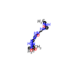 CC(=O)c1c(C)c2cnc(Nc3ccc(N4CCN(CC(=O)NCCCCCNc5ccccc5C(=O)Nc5ccc(C)cn5)CC4)cn3)nc2n(C2CCCC2)c1=O